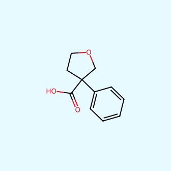 O=C(O)C1(c2ccccc2)CCOC1